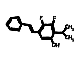 CC(C)c1c(O)cc(/C=C/c2ccccc2)c(F)c1F